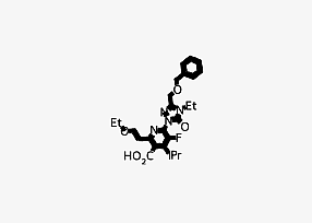 CCOC=Cc1nc(-n2nc(COCc3ccccc3)n(CC)c2=O)c(F)c(C(C)C)c1C(=O)O